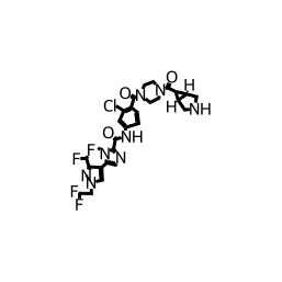 Cn1c(-c2cn(CC(F)F)nc2C(F)F)cnc1C(=O)Nc1ccc(C(=O)N2CCN(C(=O)C3[C@H]4CNC[C@@H]34)CC2)c(Cl)c1